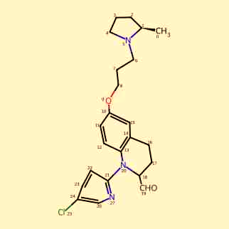 C[C@@H]1CCCN1CCCOc1ccc2c(c1)CCC(C=O)N2c1ccc(Cl)cn1